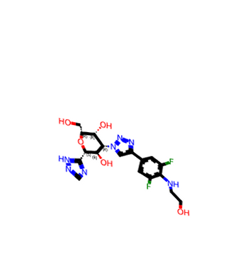 OCCNc1c(F)cc(-c2cn([C@H]3[C@@H](O)[C@@H](CO)O[C@@H](c4ncn[nH]4)[C@@H]3O)nn2)cc1F